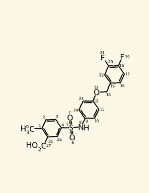 Cc1ccc(S(=O)(=O)Nc2ccc(OCc3ccc(F)c(F)c3)cc2)cc1C(=O)O